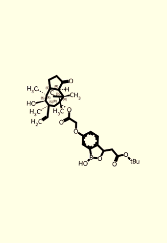 C=C[C@]1(C)C[C@@H](OC(=O)COc2ccc3c(c2)B(O)OC3CC(=O)OC(C)(C)C)[C@]2(C)[C@H](C)CC[C@]3(CCC(=O)[C@H]32)[C@@H](C)[C@@H]1O